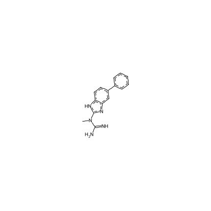 CN(C(=N)N)c1nc2cc(-c3ccccc3)ccc2[nH]1